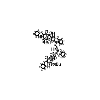 CC(C)(C)OC(=O)NC(Cc1ccccc1)C(=O)NC(=O)C(=O)N[C@H](Cc1ccccc1)C(=O)NCCNC(=O)[C@@H](Cc1ccccc1)NC(=O)CNC(=O)[C@H](Cc1ccccc1)NC(=O)OC(C)(C)C